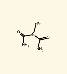 CCCN(C(N)=O)C(N)=O